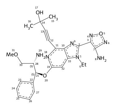 CCn1c(-c2nonc2N)nc2c(C#CC(C)(C)O)nc(O[C@@H](c3ccccc3)[C@@H](N)COC)cc21